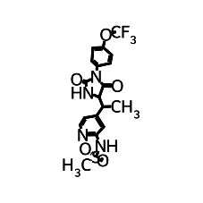 CC(c1ccnc(NS(C)(=O)=O)c1)C1NC(=O)N(c2ccc(OC(F)(F)F)cc2)C1=O